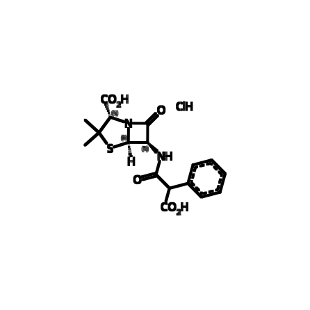 CC1(C)S[C@@H]2[C@H](NC(=O)C(C(=O)O)c3ccccc3)C(=O)N2[C@H]1C(=O)O.Cl